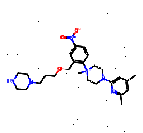 Cc1cc(C)nc(N2CC[N+](C)(c3ccc([N+](=O)[O-])cc3COCCCN3CCNCC3)CC2)c1